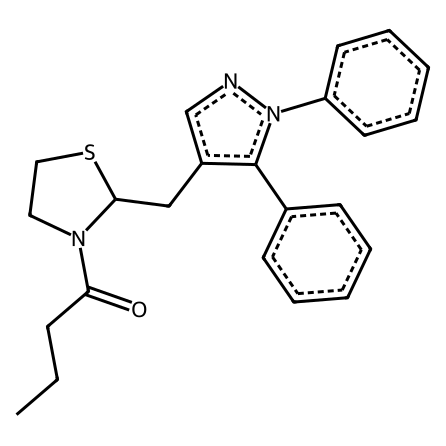 CCCC(=O)N1CCSC1Cc1cnn(-c2ccccc2)c1-c1ccccc1